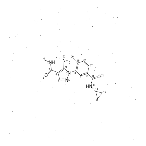 CNC(=O)c1cnn(-c2cc(C(=O)NC3CC3)ccc2C)c1N